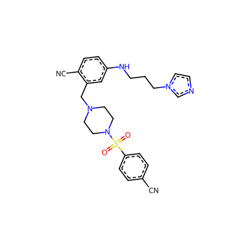 N#Cc1ccc(S(=O)(=O)N2CCN(Cc3cc(NCCCn4ccnc4)ccc3C#N)CC2)cc1